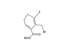 COC(=O)C1=CCCC(F)=C1CBr